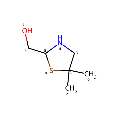 CC1(C)CNC(CO)S1